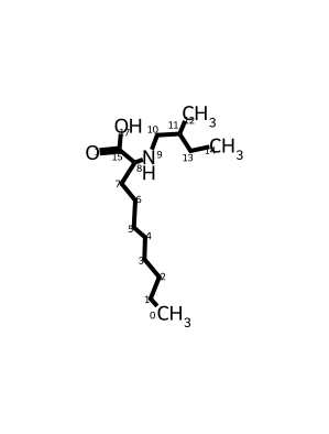 CCCCCCCCC(NCC(C)CC)C(=O)O